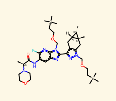 C[C@@H](C(=O)Nc1cc2nc(-c3nn(COCC[Si](C)(C)C)c4c3C[C@@H]3[C@H](C)[C@]3(C)C4)n(COCC[Si](C)(C)C)c2nc1F)N1CCOCC1